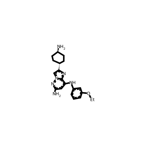 CCOc1cccc(Nc2cc(N)nn3cc([C@H]4CC[C@H](N)CC4)nc23)c1